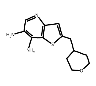 Nc1cnc2cc(CC3CCOCC3)sc2c1N